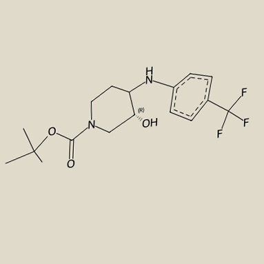 CC(C)(C)OC(=O)N1CCC(Nc2ccc(C(F)(F)F)cc2)[C@H](O)C1